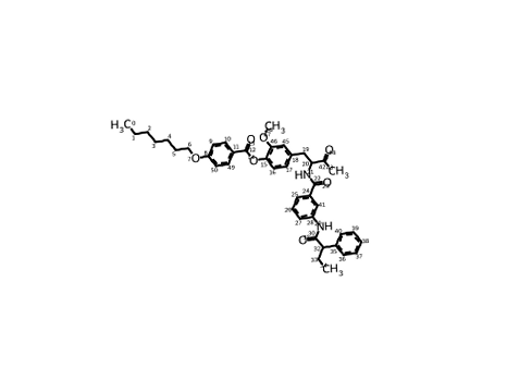 CCCCCCCOc1ccc(C(=O)Oc2ccc(CC(NC(=O)c3cccc(NC(=O)C(CC)c4ccccc4)c3)C(C)=O)cc2OC)cc1